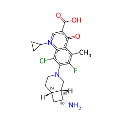 Cc1c(F)c(N2CC[C@H]3C[C@@H](N)[C@H]3C2)c(Cl)c2c1c(=O)c(C(=O)O)cn2C1CC1